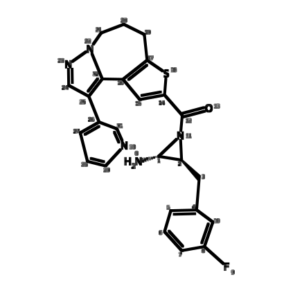 N[C@H]1[C@H](Cc2cccc(F)c2)N1C(=O)c1cc2c(s1)CCCn1ncc(-c3cccnc3)c1-2